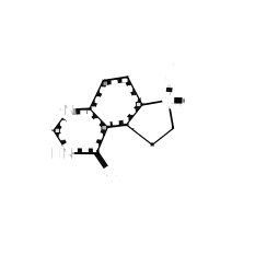 O=c1[nH]cnc2ccc3c(c12)CCS3(=O)=O